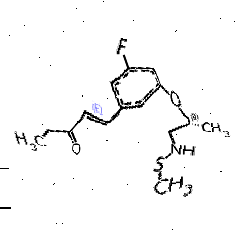 CCC(=O)/C=C/c1cc(F)cc(O[C@H](C)CNSC)c1